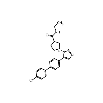 CCNC(=O)C1CC[C@@H](n2nncc2-c2ccc(-c3ccc(Cl)cc3)cc2)C1